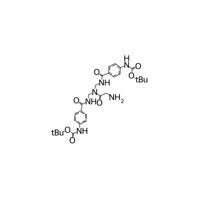 CC(C)(C)OC(=O)Nc1ccc(C(=O)NCN(CNC(=O)c2ccc(NC(=O)OC(C)(C)C)cc2)C(=O)CN)cc1